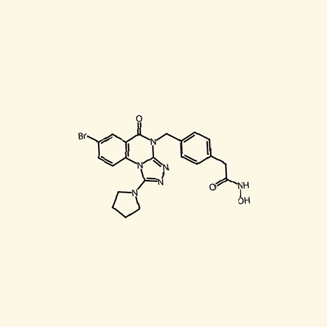 O=C(Cc1ccc(Cn2c(=O)c3cc(Br)ccc3n3c(N4CCCC4)nnc23)cc1)NO